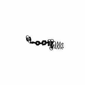 CNC(=O)C(C(=O)OC)N(C)C(=O)c1ccc(-c2ccc(C#CCN3CCOCC3)cc2)cc1